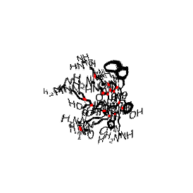 C[C@@H](NC(=O)[C@H](CCCCN)NC(=O)[C@H](CCCNC(=N)N)NC(=O)[C@H](Cc1ccc(O)cc1)NC(=O)[C@H](CS)NC(=O)[C@H](Cc1ccc2ccccc2c1)NC(=O)[C@H](CCCNC(=N)N)NC(=O)[C@@H](N)CCCNC(=N)N)C(=O)N1CCC[C@H]1C(=O)N[C@@H](Cc1ccc(O)cc1)C(=O)N[C@@H](CCCNC(=N)N)C(=O)N[C@@H](CCCNC(N)=O)C(=O)N[C@@H](CS)C(=O)N[C@@H](CCCNC(=N)N)C(=O)O